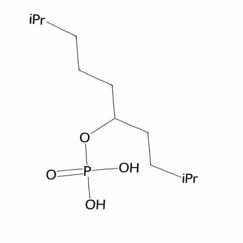 CC(C)CCCC(CCC(C)C)OP(=O)(O)O